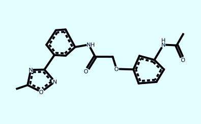 CC(=O)Nc1cccc(OCC(=O)Nc2cccc(-c3noc(C)n3)c2)c1